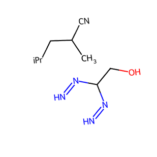 CC(C)CC(C)C#N.N=NC(CO)N=N